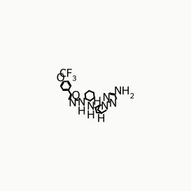 Nc1cnc(N2C[C@@H]3C[C@H](N[C@@H]4CCCC[C@H]4Nc4ncc(-c5ccc(OC(F)(F)F)cc5)o4)[C@H]2C3)nc1